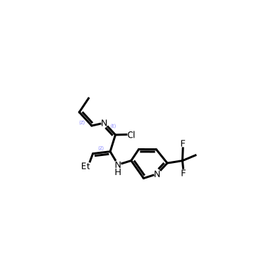 C\C=C/N=C(Cl)\C(=C\CC)Nc1ccc(C(C)(F)F)nc1